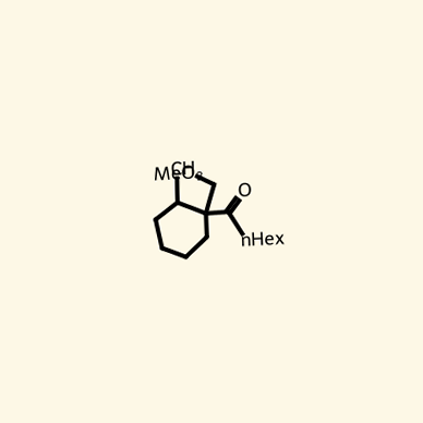 CCCCCCC(=O)C1(COC)CCCCC1C